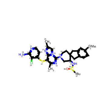 COc1ccc2c(c1)CC1(CCN(c3nc(C)c(Sc4ccnc(N)c4Cl)c4nc(C)cn34)CC1N[S+]([O-])C(C)(C)C)C2